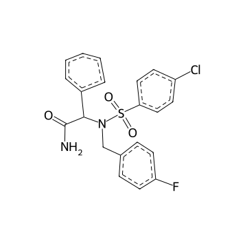 NC(=O)C(c1ccccc1)N(Cc1ccc(F)cc1)S(=O)(=O)c1ccc(Cl)cc1